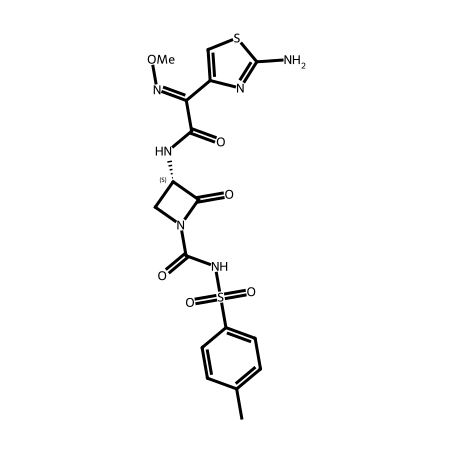 CON=C(C(=O)N[C@H]1CN(C(=O)NS(=O)(=O)c2ccc(C)cc2)C1=O)c1csc(N)n1